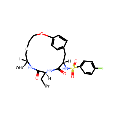 CC(C)C[C@@H]1NC(=O)[C@@H](NS(=O)(=O)c2ccc(F)cc2)Cc2ccc(cc2)OCCCC[C@@H](C=O)NC1=O